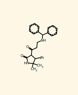 CC(C)C1C(C(=O)CCNC(c2ccccc2)c2ccccc2)C(=O)NC1(C)C